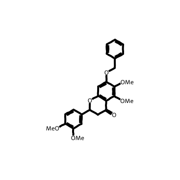 COc1ccc(C2CC(=O)c3c(cc(OCc4ccccc4)c(OC)c3OC)O2)cc1OC